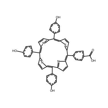 O=C(O)c1ccc(C2=C3C=CC(=N3)C(c3ccc(O)cc3)=C3C=CC(=N3)C(c3ccc(O)cc3)=C3C=CC(=N3)C(c3ccc(O)cc3)=C3C=CC2=N3)cc1